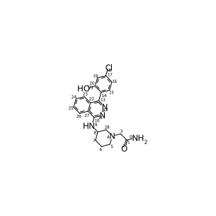 NC(=O)CN1CCCC(Nc2nnc(-c3ccc(Cl)cc3O)c3ccccc23)C1